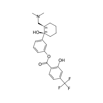 CN(C)C[C@H]1CCCC[C@]1(O)c1cccc(OC(=O)c2ccc(C(F)(F)F)cc2O)c1